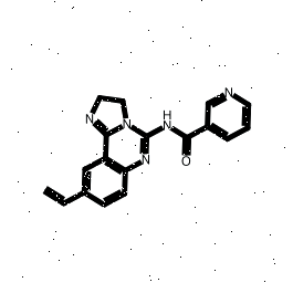 C=Cc1ccc2c(c1)C1=NCCN1C(NC(=O)c1cccnc1)=N2